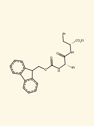 CCOC(=O)[C@@H](CC(C)C)NC(=O)[C@@H](NC(=O)OCC1c2ccccc2-c2ccccc21)C(C)C